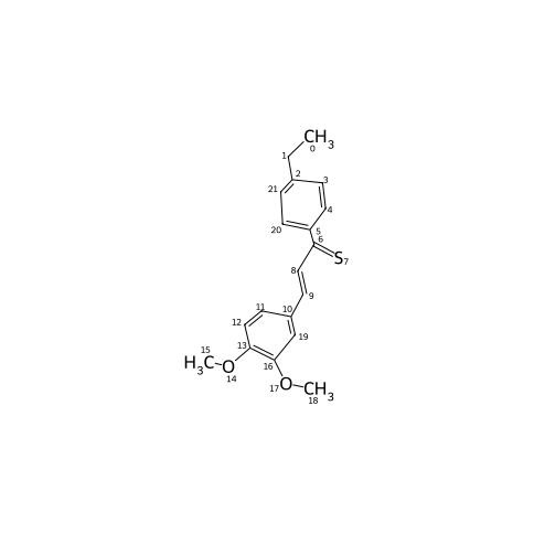 CCc1ccc(C(=S)C=Cc2ccc(OC)c(OC)c2)cc1